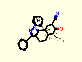 C[C@@H]1C(=O)C(C#N)C[C@]2(c3ccccc3)c3c(c(-c4ccccc4)nn3C)CC[C@@H]12